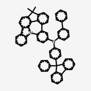 CC1(C)c2cccc3c2-c2c1ccc1c4ccccc4n(c21)-c1ccc(N(c2ccc(C4(c5ccccc5)c5ccccc5-c5ccccc54)cc2)c2cccc(-c4ccccc4)c2)cc1-3